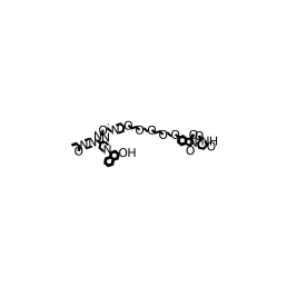 C=CC(=O)N1CCN(c2nc(O[C@H](C)CN3CCC(OCCOCCOCCOCCOc4ccc5c(c4)C(=O)N(C4CCC(=O)NC4=O)C5=O)CC3)nc3c2CCN(c2cc(O)cc4ccccc24)C3)CC1